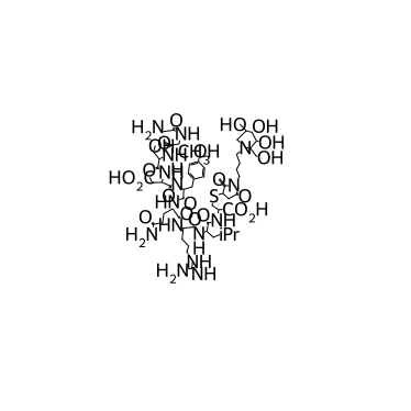 CC(C)CC(NC(=O)C(CCCNC(=N)N)NC(=O)C(CCC(N)=O)NC(=O)C(Cc1ccc(O)cc1)NC(=O)C(CC(=O)O)NC(=O)C(CO)NC(=O)C(C)NC(=O)CN)C(=O)NC(CSC1CC(=O)N(CCCCN2CC(O)C(O)C(O)C2CO)C1=O)C(=O)O